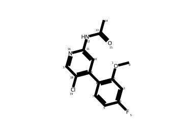 COc1cc(F)ccc1-c1cc(NC(C)=O)ncc1Cl